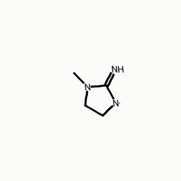 CN1CC[N]C1=N